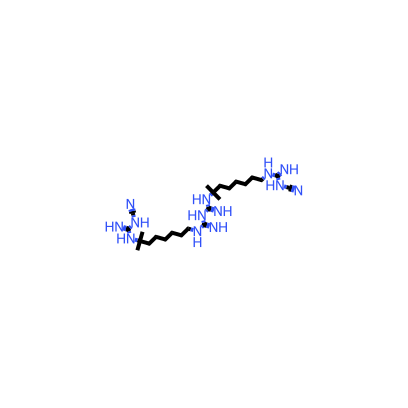 CC(C)(CCCCCCNC(=N)NC(=N)NC(C)(C)CCCCCCNC(=N)NC#N)NC(=N)NC#N